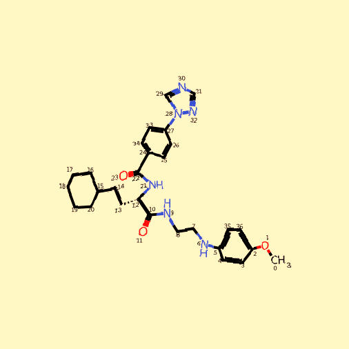 COc1ccc(NCCNC(=O)[C@H](CCC2CCCCC2)NC(=O)c2ccc(-n3cncn3)cc2)cc1